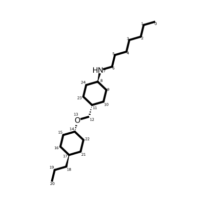 CCCCCCCN[C@H]1CC[C@H](CO[C@H]2CC[C@H](CCC)CC2)CC1